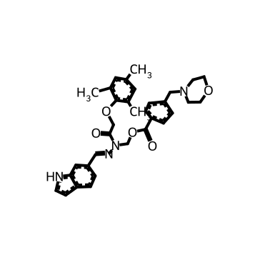 Cc1cc(C)c(OCC(=O)N(COC(=O)c2ccc(CN3CCOCC3)cc2)N=Cc2ccc3cc[nH]c3c2)c(C)c1